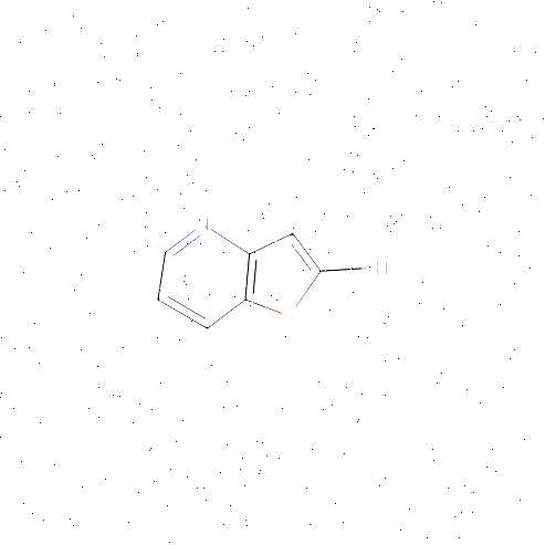 Cc1cc2ncc[c]c2s1